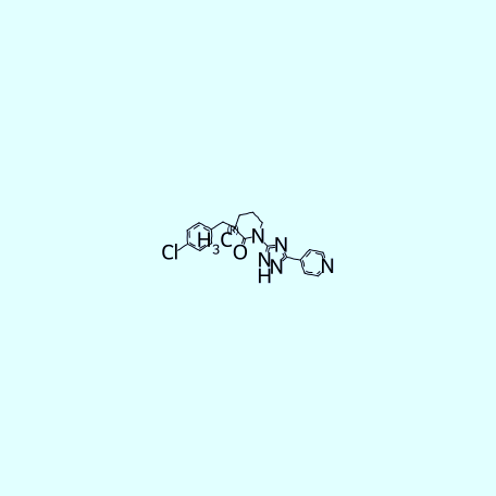 C[C@]1(Cc2ccc(Cl)cc2)CCCN(c2nc(-c3ccncc3)n[nH]2)C1=O